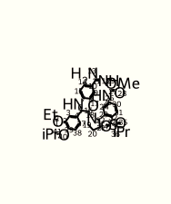 CCOc1cc([C@@H](Nc2ccc(C(=N)N)cc2)C(=O)N2CCC[C@@H]2c2cc(NC(=O)OC)ccc2S(=O)(=O)C(C)C)ccc1OC(C)C